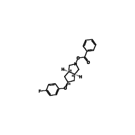 O=C(ON1C[C@H]2C[C@@H](Oc3ccc(F)cc3)C[C@H]2C1)c1ccccc1